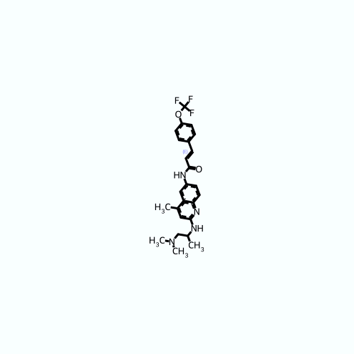 Cc1cc(NC(C)CN(C)C)nc2ccc(NC(=O)/C=C/c3ccc(OC(F)(F)F)cc3)cc12